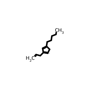 C=CCC1=[C]CC(CCCCC)=C1